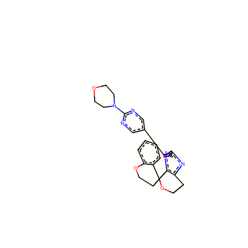 c1ccc2c(c1)OCCC21OCCc2nc3ccc(-c4cnc(N5CCOCC5)nc4)nn3c21